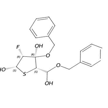 OC(OCc1ccccc1)[C@@H]1S[C@H](O)[C@H](F)[C@@]1(O)OCc1ccccc1